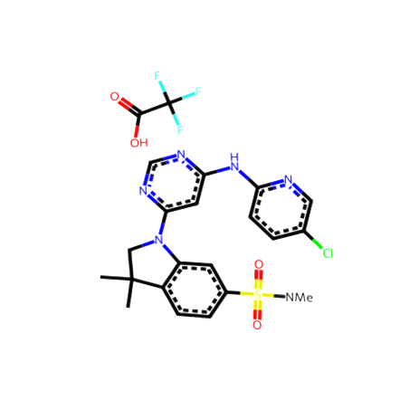 CNS(=O)(=O)c1ccc2c(c1)N(c1cc(Nc3ccc(Cl)cn3)ncn1)CC2(C)C.O=C(O)C(F)(F)F